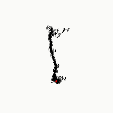 C[C@@H]1CN(c2ncc(-c3ccc4c(n3)N(Cc3cccnc3C#N)C(C)(C)C4=O)cn2)CCN1C(=O)COCCOCCOCCOCCNC(=O)COc1cccc(Oc2ccc(C(=O)N[C@@H](CCC(C)(C)C)C(=O)O)cn2)c1